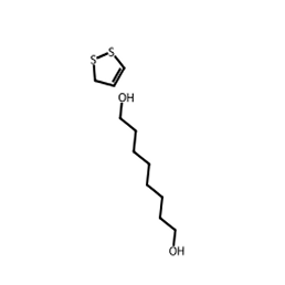 C1=CSSC1.OCCCCCCCCO